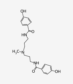 CN(CCCNC(=O)c1ccc(O)cc1)CCCNC(=O)c1ccc(O)cc1